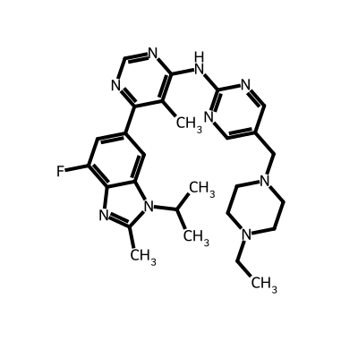 CCN1CCN(Cc2cnc(Nc3ncnc(-c4cc(F)c5nc(C)n(C(C)C)c5c4)c3C)nc2)CC1